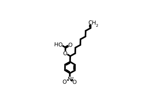 C=CCCCCCCC(OC(=O)O)c1ccc([N+](=O)[O-])cc1